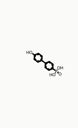 O=P(O)(O)c1ccc(-c2ccc(O)cc2)cc1